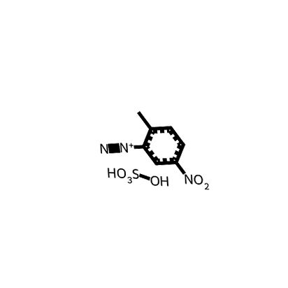 Cc1ccc([N+](=O)[O-])cc1[N+]#N.O=S(=O)(O)O